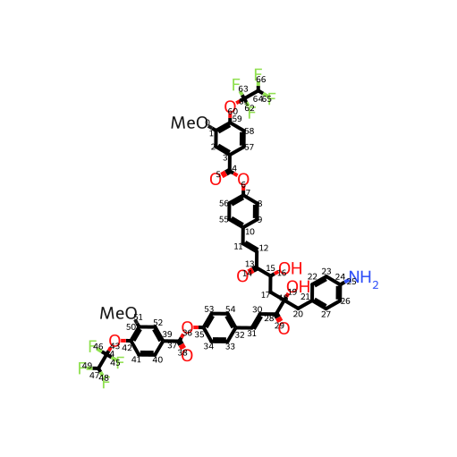 COc1cc(C(=O)Oc2ccc(/C=C/C(=O)C(O)CC(O)(Cc3ccc(N)cc3)C(=O)/C=C/c3ccc(OC(=O)c4ccc(OC(F)(F)C(F)F)c(OC)c4)cc3)cc2)ccc1OC(F)(F)C(F)F